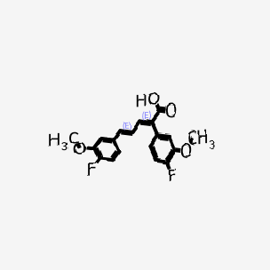 COc1cc(/C=C/C=C(/C(=O)O)c2ccc(F)c(OC)c2)ccc1F